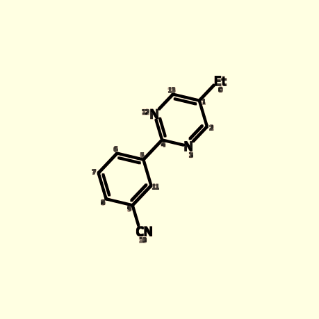 CCc1cnc(-c2cccc(C#N)c2)nc1